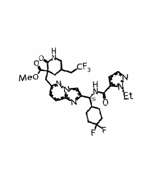 CCn1nccc1C(=O)N[C@H](c1cn2nc(CC3(C(=O)OC)CC(CC(F)(F)F)CNC3=O)ccc2n1)C1CCC(F)(F)CC1